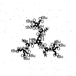 CCc1c(CNC(=O)N[C@@H]2CN(C(=O)NC(CCC(=O)OC(C)(C)C)(CCC(=O)OC(C)(C)C)CCC(=O)OC(C)(C)C)CC2N=[N+]=[N-])c(CC)c(CNC(=O)N[C@@H]2CN(C(=O)NC(CCC(=O)OC(C)(C)C)(CCC(=O)OC(C)(C)C)CCC(=O)OC(C)(C)C)CC2N=[N+]=[N-])c(CC)c1CNC(=O)N[C@@H]1CN(C(=O)NC(CCC(=O)OC(C)(C)C)(CCC(=O)OC(C)(C)C)CCC(=O)OC(C)(C)C)CC1N=[N+]=[N-]